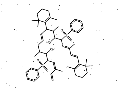 C=CC(C)=CC(C(O)C(C)CC=CC(C1=C(C)CCCC1(C)C)C(C)C(O)C(C=C(C)C=CC1=C(C)CCCC1(C)C)S(=O)(=O)c1ccccc1)S(=O)(=O)c1ccccc1